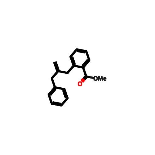 C=C(Cc1ccccc1)Cc1ccccc1C(=O)OC